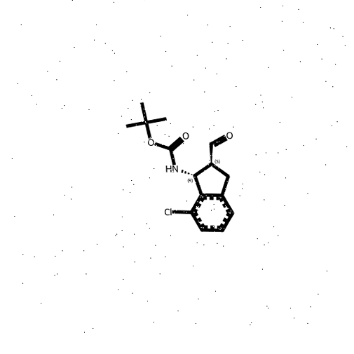 CC(C)(C)OC(=O)N[C@H]1c2c(Cl)cccc2C[C@@H]1C=O